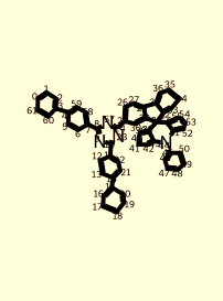 c1ccc(-c2ccc(-c3nc(-c4ccc(-c5ccccc5)cc4)nc(-c4ccc5c(c4)C4(c6ccccc6-5)c5ccccc5N(c5ccccc5)c5ccccc54)n3)cc2)cc1